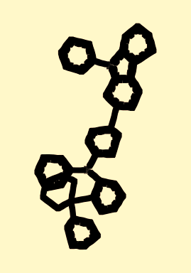 c1ccc(N(c2ccc(-c3ccc4c5ccccc5n(-c5ccccc5)c4c3)cc2)c2ccccc2C2(c3ccccc3)CCCCC2)cc1